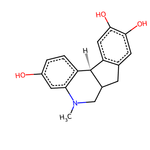 CN1CC2Cc3cc(O)c(O)cc3[C@@H]2c2ccc(O)cc21